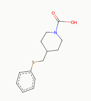 O=C(O)N1CCC(CSc2ccccc2)CC1